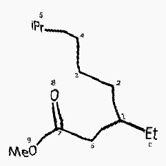 CCC(CCCC(C)C)CC(=O)OC